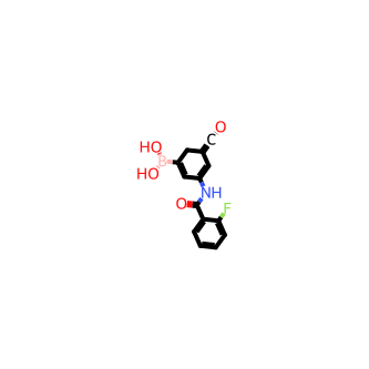 O=C=C1C=C(NC(=O)c2ccccc2F)C=C(B(O)O)C1